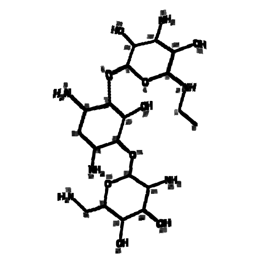 CCNC1OC(OC2C(N)CC(N)C(OC3OC(CN)C(O)C(O)C3N)C2O)C(O)C(N)C1O